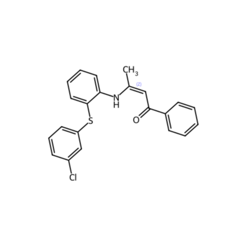 C/C(=C/C(=O)c1ccccc1)Nc1ccccc1Sc1cccc(Cl)c1